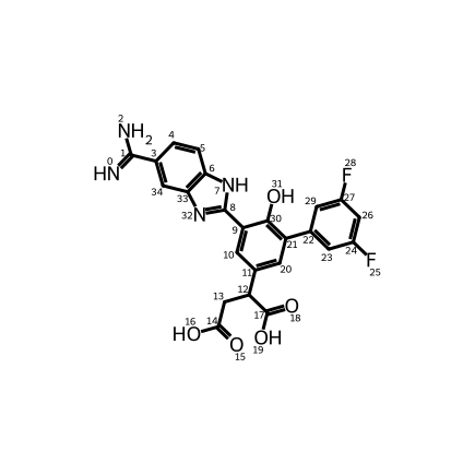 N=C(N)c1ccc2[nH]c(-c3cc(C(CC(=O)O)C(=O)O)cc(-c4cc(F)cc(F)c4)c3O)nc2c1